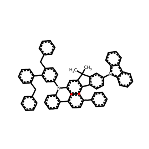 CC1(C)c2cc(N(c3ccc(Cc4ccccc4)c(-c4ccccc4Cc4ccccc4)c3)c3ccccc3-c3ccc(-c4ccccc4)cc3)ccc2-c2ccc(-n3c4ccccc4c4ccccc43)cc21